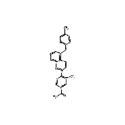 NC(=O)c1cnc(-c2ccc3c(Nc4ccc(C(F)(F)F)cn4)ccnc3n2)c(C(F)(F)F)c1